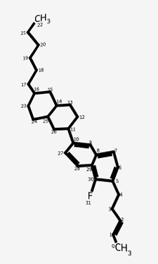 C/C=C/CCc1ccc2cc(C3CCC4CC(CCCCCC)CCC4C3)ccc2c1F